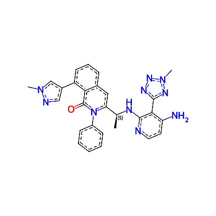 C[C@H](Nc1nccc(N)c1-c1nnn(C)n1)c1cc2cccc(-c3cnn(C)c3)c2c(=O)n1-c1ccccc1